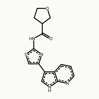 O=C(Nc1nc(-c2c[nH]c3ncccc23)cs1)C1CCOC1